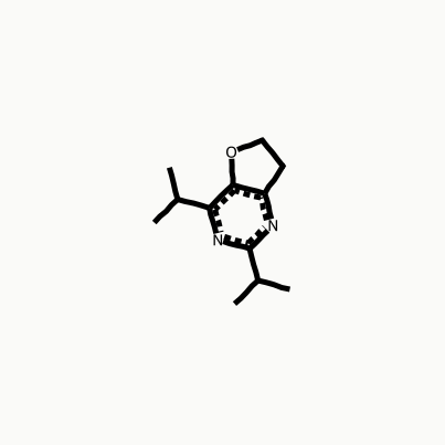 CC(C)c1nc2c(c(C(C)C)n1)OCC2